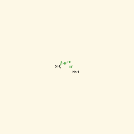 F.F.F.F.[NaH].[SiH4]